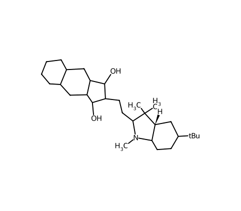 CN1C2CCC(C(C)(C)C)C[C@H]2C(C)(C)C1CCC1C(O)C2CC3CCCCC3CC2C1O